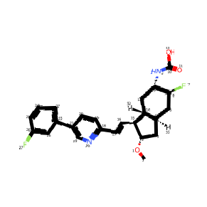 CO[C@H]1C[C@@H]2C[C@H](F)[C@@H](NC(=O)O)C[C@H]2[C@@H]1C=Cc1ccc(-c2cccc(F)c2)cn1